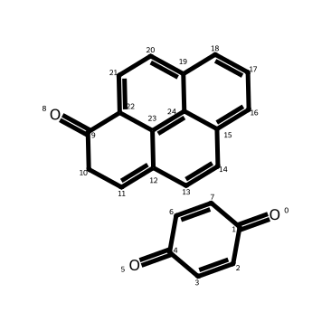 O=C1C=CC(=O)C=C1.O=C1CC=c2ccc3cccc4ccc1c2c43